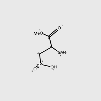 COC(=O)C(C[PH](=O)O)SC